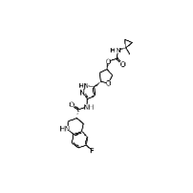 CC1(NC(=O)O[C@H]2CO[C@@H](c3cc(NC(=O)[C@H]4CNc5ccc(F)cc5C4)n[nH]3)C2)CC1